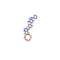 Cn1c(Nc2ccccc2)ncc(-c2ccc(Oc3ncnc4cc5c(cc34)OCCOCOCCO5)cn2)c1=O